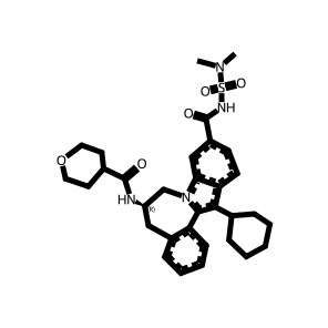 CN(C)S(=O)(=O)NC(=O)c1ccc2c(C3CCCCC3)c3n(c2c1)C[C@H](NC(=O)C1CCOCC1)Cc1ccccc1-3